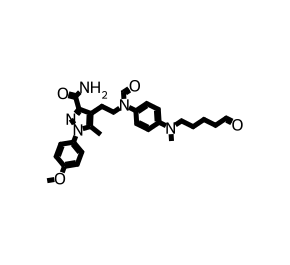 COc1ccc(-n2nc(C(N)=O)c(CCN(C=O)c3ccc(N(C)CCCCC=O)cc3)c2C)cc1